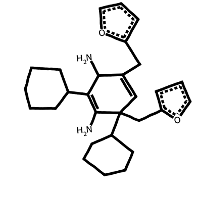 NC1=C(C2CCCCC2)C(N)C(Cc2ccco2)=CC1(Cc1ccco1)C1CCCCC1